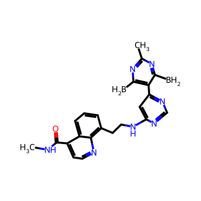 Bc1nc(C)nc(B)c1-c1cc(NCCc2cccc3c(C(=O)NC)ccnc23)ncn1